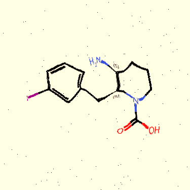 N[C@H]1CCCN(C(=O)O)[C@H]1Cc1cccc(I)c1